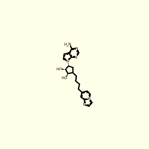 Nc1ncnc2c1ccn2[C@@H]1CC(CCCCc2ccn3ccnc3c2)[C@@H](O)[C@H]1O